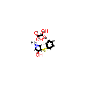 CCN1CC(O)C(Sc2ccccc2)C1.O=C(O)C(=O)O